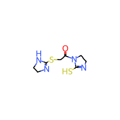 O=C(CSC1=NCCN1)N1CCN=C1S